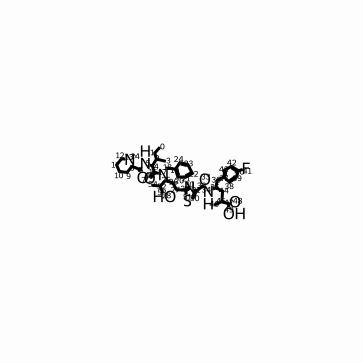 CCC(C)C(NC(=O)C1CCCCN1C)C(=O)N(Cc1ccccc1)C(CC(O)c1nc(C(=O)NC(Cc2ccc(F)cc2)CC(C)C(=O)O)cs1)C(C)C